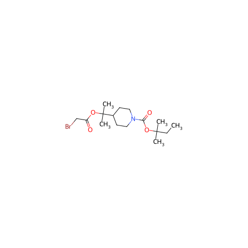 CCC(C)(C)OC(=O)N1CCC(C(C)(C)OC(=O)CBr)CC1